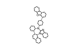 c1ccc2c(c1)-c1ccc3ccccc3c1-n1c(nc3ccccc31)N2c1ccc(-c2cccc3c2oc2ccccc23)cc1